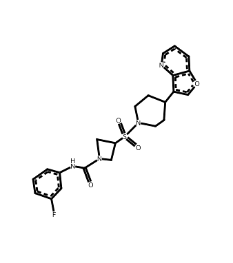 O=C(Nc1cccc(F)c1)N1CC(S(=O)(=O)N2CCC(c3coc4cccnc34)CC2)C1